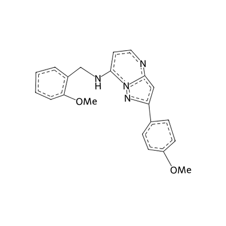 COc1ccc(-c2cc3nccc(NCc4ccccc4OC)n3n2)cc1